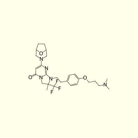 CN(C)CCCOc1ccc(CCN2c3nc(N4CC5CCC(C4)O5)cc(=O)n3CC2(C)C(F)(F)F)cc1